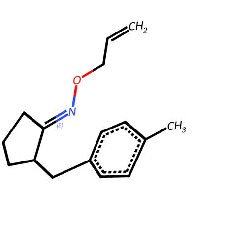 C=CCO/N=C1\CCCC1Cc1ccc(C)cc1